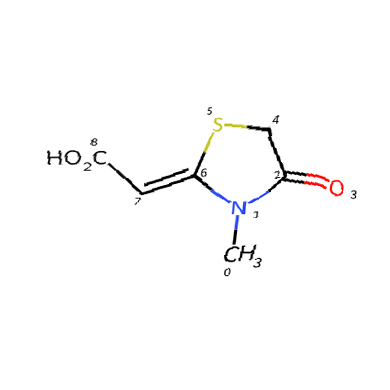 CN1C(=O)CSC1=CC(=O)O